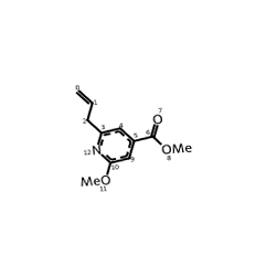 C=CCc1cc(C(=O)OC)cc(OC)n1